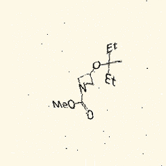 CCC(C)(CC)OC1CN(C(=O)OC)C1